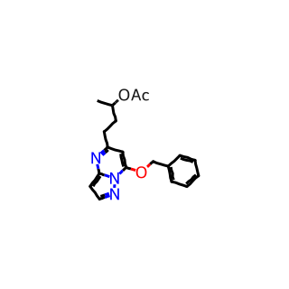 CC(=O)OC(C)CCc1cc(OCc2ccccc2)n2nccc2n1